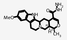 COc1ccc2[nH]c3c(c2c1)CCN1C[C@H]2C(CC31)C(C(=O)NN)=CO[C@H]2C